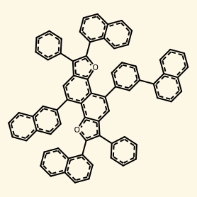 c1ccc(-c2c(-c3cccc4ccccc34)oc3c2cc(-c2ccc4ccccc4c2)c2c4oc(-c5cccc6ccccc56)c(-c5ccccc5)c4cc(-c4cccc(-c5cccc6ccccc56)c4)c32)cc1